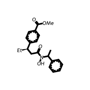 CC[C@H](CC(=O)N(O)C(C)c1ccccc1)c1ccc(C(=O)OC)cc1